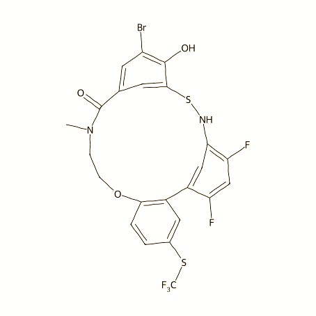 CN1CCOc2ccc(SC(F)(F)F)cc2-c2cc(c(F)cc2F)NSc2cc(cc(Br)c2O)C1=O